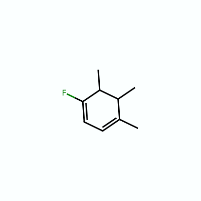 CC1=CC=C(F)C(C)C1C